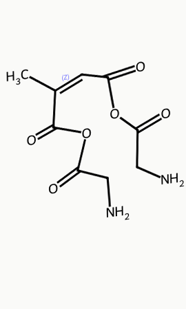 C/C(=C/C(=O)OC(=O)CN)C(=O)OC(=O)CN